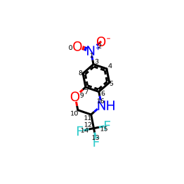 O=[N+]([O-])c1ccc2c(c1)OCC(C(F)(F)F)N2